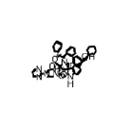 O=C1O[C@H](c2ccccc2)C(c2ccccc2)N2[C@H]1[C@@H](C(=O)N1CCN(c3ncccn3)CC1)[C@]1(C(=O)Nc3ccc(C#CC4=CCCCC4)cc31)[C@H]2c1ccc(O)cc1